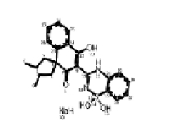 CCCC1(CCC)C(=O)C(C2=NS(O)(O)c3ccccc3N2)=C(O)c2ccccc21.[NaH]